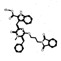 Cn1c(=O)/c(=C/c2c(C(=O)OC(C)(C)C)[nH]c3ccccc23)nc(OCCCN2C(=O)c3ccccc3C2=O)/c1=C/c1ccccc1